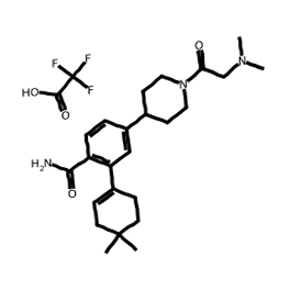 CN(C)CC(=O)N1CCC(c2ccc(C(N)=O)c(C3=CCC(C)(C)CC3)c2)CC1.O=C(O)C(F)(F)F